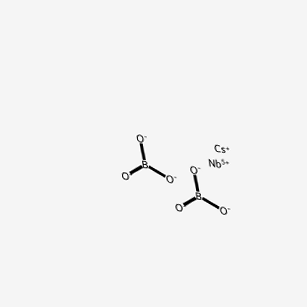 [Cs+].[Nb+5].[O-]B([O-])[O-].[O-]B([O-])[O-]